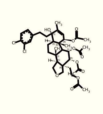 CC(=O)OCC[C@]12COC[C@H]1[C@]1(C)CC[C@@H]3[C@@](C)(C1[C@H](OC(C)=O)[C@@H]2OC(C)=O)[C@H](OC(C)=O)C=C(C)[C@]3(O)CCc1ccc(Cl)c(Cl)c1